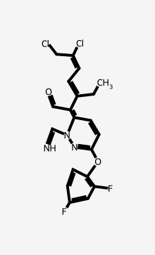 CCC(=C\C=C(\Cl)CCl)/C(C=O)=C1\C=CC(Oc2ccc(F)cc2F)=NN1C=N